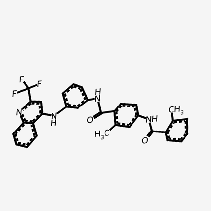 Cc1ccccc1C(=O)Nc1ccc(C(=O)Nc2cccc(Nc3cc(C(F)(F)F)nc4ccccc34)c2)c(C)c1